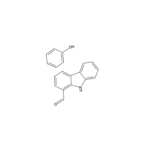 O=Cc1cccc2c1[nH]c1ccccc12.Oc1ccccc1